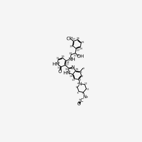 Cc1cc(N2CCC(N=C=O)CC2)cc2[nH]c(-c3c(NCC(O)c4cccc(Cl)c4)cc[nH]c3=O)nc12